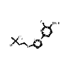 CCC(C)(CCOc1ccn(-c2ccc(C(=O)O)c(Cl)n2)n1)C(F)(F)F